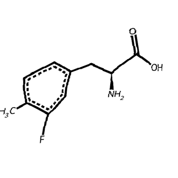 Cc1ccc(C[C@H](N)C(=O)O)cc1F